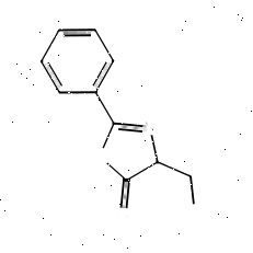 CC(C)CC1N=C(c2ccccc2)OC1=O